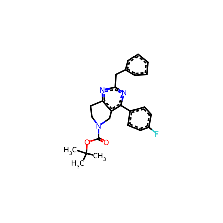 CC(C)(C)OC(=O)N1CCc2nc(Cc3ccccc3)nc(-c3ccc(F)cc3)c2C1